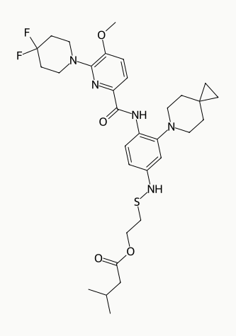 COc1ccc(C(=O)Nc2ccc(NSCCOC(=O)CC(C)C)cc2N2CCC3(CC2)CC3)nc1N1CCC(F)(F)CC1